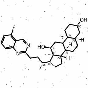 C[C@H](CCc1ncc2c(F)cccc2n1)[C@H]1CC[C@H]2[C@@H]3CC[C@@H]4C[C@H](O)CC[C@]4(C)C3C[C@H](O)[C@]12C